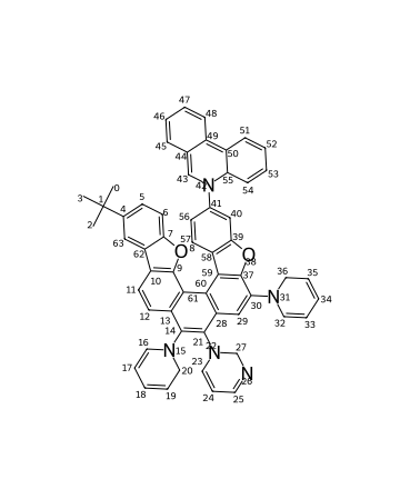 CC(C)(C)c1ccc2oc3c(ccc4c(N5C=CC=CC5)c(N5C=CC=NC5)c5cc(N6C=CC=CC6)c6oc7cc(N8C=c9ccccc9=C9C=CC=CC98)ccc7c6c5c43)c2c1